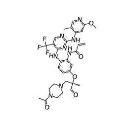 C=CC(=O)Nc1cc(O[C@](C)(C=O)CN2CCN(C(C)=O)CC2)ccc1Nc1nc(Nc2cc(OC)ncc2C)ncc1C(F)(F)F